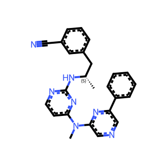 C[C@@H](Cc1cccc(C#N)c1)Nc1nccc(N(C)c2cncc(-c3ccccc3)n2)n1